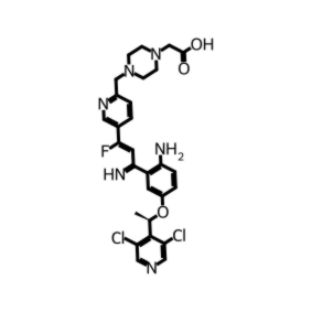 C[C@@H](Oc1ccc(N)c(C(=N)/C=C(\F)c2ccc(CN3CCN(CC(=O)O)CC3)nc2)c1)c1c(Cl)cncc1Cl